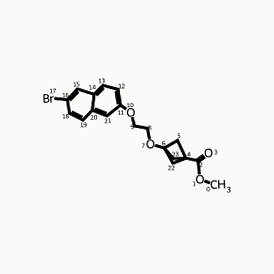 COC(=O)C12CC(OCCOc3ccc4cc(Br)ccc4c3)(C1)C2